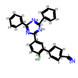 N#Cc1ccc(-c2cc(-c3nc(-c4ccccc4)nc(-c4ccccc4)n3)ccc2F)cc1